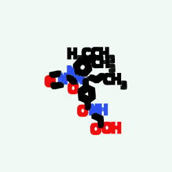 CCCC[C@H](c1ccc(C(=O)NCCC(=O)O)cc1)N1C(=O)C(N2CCOCC2)=NC12CCC(C(C)(C)C)CC2